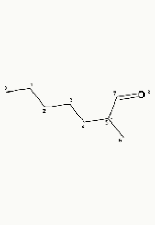 CCCCC[C](C)C=O